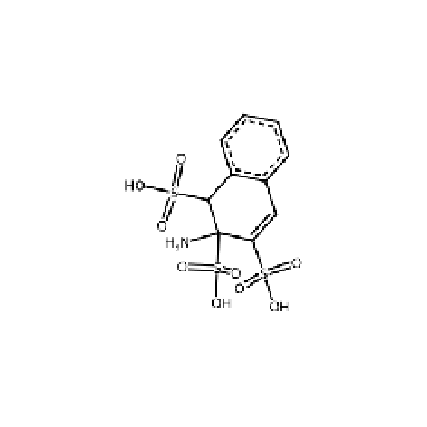 NC1(S(=O)(=O)O)C(S(=O)(=O)O)=Cc2ccccc2C1S(=O)(=O)O